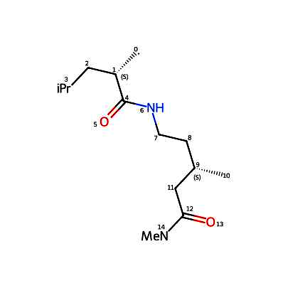 [CH2][C@@H](CC(C)C)C(=O)NCC[C@H](C)CC(=O)NC